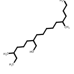 CCCCC(C)CCCCCC(CO)CCCC(C)CC